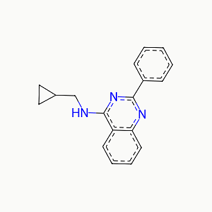 c1ccc(-c2nc(NCC3CC3)c3ccccc3n2)cc1